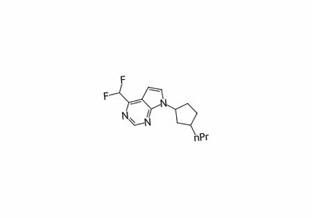 CCCC1CCC(n2ccc3c(C(F)F)ncnc32)C1